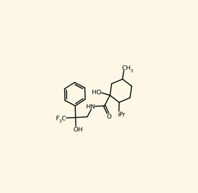 CC1CCC(C(C)C)C(O)(C(=O)NCC(O)(c2ccccc2)C(F)(F)F)C1